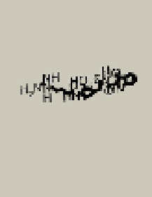 N=C(N)NCCCCC(=O)Nc1ccc(C[C@H](NC(=O)c2[nH]c3ccccc3c2O)C(=O)O)cc1